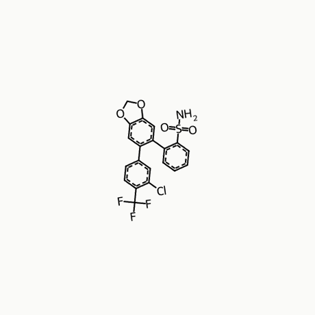 NS(=O)(=O)c1ccccc1-c1cc2c(cc1-c1ccc(C(F)(F)F)c(Cl)c1)OCO2